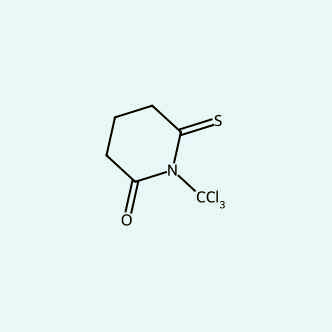 O=C1CCCC(=S)N1C(Cl)(Cl)Cl